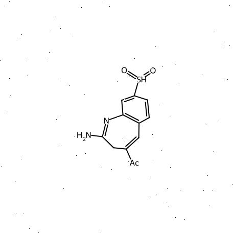 CC(=O)C1=Cc2ccc([SH](=O)=O)cc2N=C(N)C1